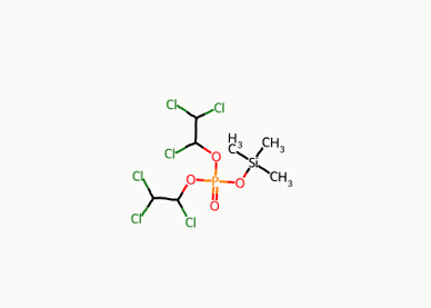 C[Si](C)(C)OP(=O)(OC(Cl)C(Cl)Cl)OC(Cl)C(Cl)Cl